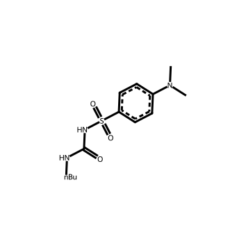 CCCCNC(=O)NS(=O)(=O)c1ccc(N(C)C)cc1